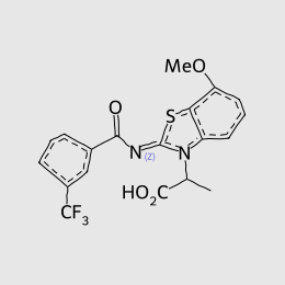 COc1cccc2c1s/c(=N\C(=O)c1cccc(C(F)(F)F)c1)n2C(C)C(=O)O